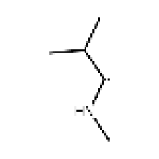 CN[CH]C(C)C